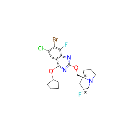 Fc1c(Br)c(Cl)cc2c(OC3CCCC3)nc(OC[C@@]34CCCN3C[C@H](F)C4)nc12